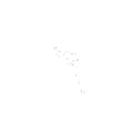 NCCOCCOCCNC(=O)c1cc2cc3c4c(c2oc1=O)CCCN4CCC3